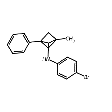 CC12CC(c3ccccc3)(C1)C2Nc1ccc(Br)cc1